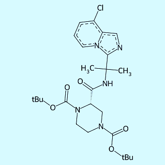 CC(C)(C)OC(=O)N1CCN(C(=O)OC(C)(C)C)[C@H](C(=O)NC(C)(C)c2ncc3c(Cl)cccn23)C1